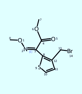 CO/N=C(\C(=O)OC)c1sccc1CBr